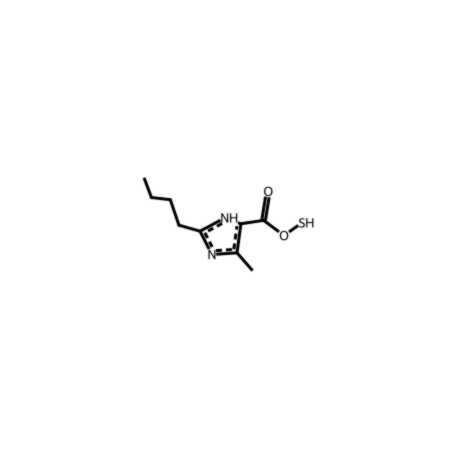 CCCCc1nc(C)c(C(=O)OS)[nH]1